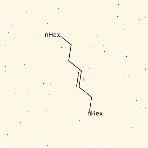 [CH2]CCCCCCC/C=C/CCCCCCC